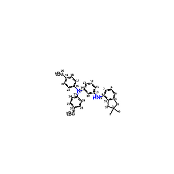 CC1(C)Cc2cccc(Nc3cccc(N(c4ccc(C(C)(C)C)cc4)c4ccc(C(C)(C)C)cc4)c3)c2C1